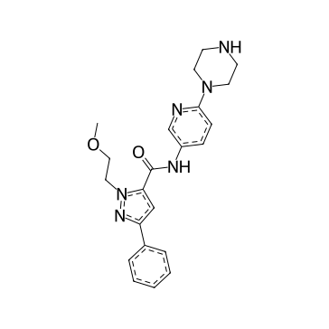 COCCn1nc(-c2ccccc2)cc1C(=O)Nc1ccc(N2CCNCC2)nc1